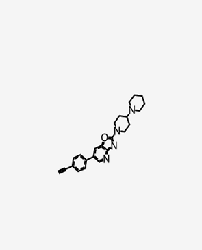 C#Cc1ccc(-c2cnc3nc(N4CCC(N5CCCCC5)CC4)oc3c2)cc1